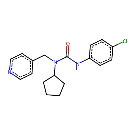 O=C(Nc1ccc(Cl)cc1)N(Cc1ccncc1)C1CCCC1